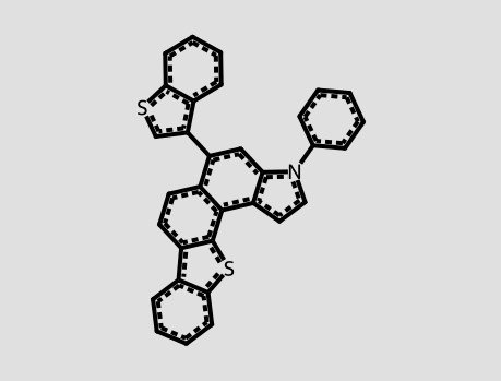 c1ccc(-n2ccc3c4c(ccc5c6ccccc6sc54)c(-c4csc5ccccc45)cc32)cc1